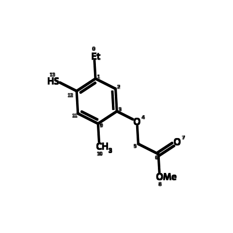 CCc1cc(OCC(=O)OC)c(C)cc1S